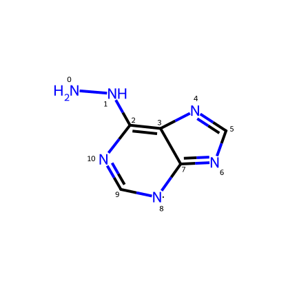 NNC1=C2N=CN=C2[N]C=N1